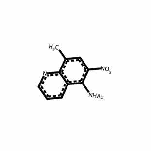 CC(=O)Nc1c([N+](=O)[O-])cc(C)c2ncccc12